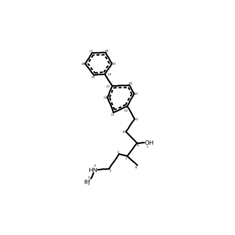 CC(CC[NH][Rf])C(O)CCc1ccc(-c2ccccc2)cc1